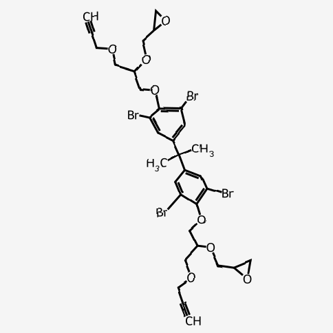 C#CCOCC(COc1c(Br)cc(C(C)(C)c2cc(Br)c(OCC(COCC#C)OCC3CO3)c(Br)c2)cc1Br)OCC1CO1